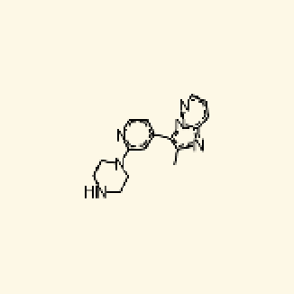 Cc1nc2cccnn2c1-c1ccnc(N2CCNCC2)c1